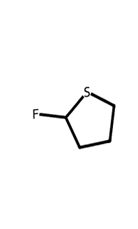 FC1CCCS1